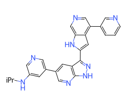 CC(C)Nc1cncc(-c2cnc3[nH]nc(-c4cc5c(-c6cccnc6)cncc5[nH]4)c3c2)c1